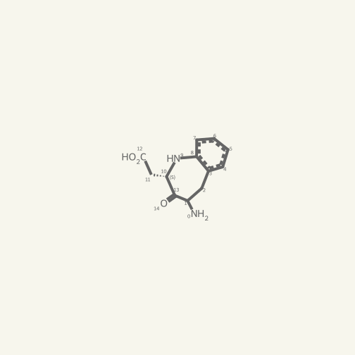 NC1Cc2ccccc2N[C@@H](CC(=O)O)C1=O